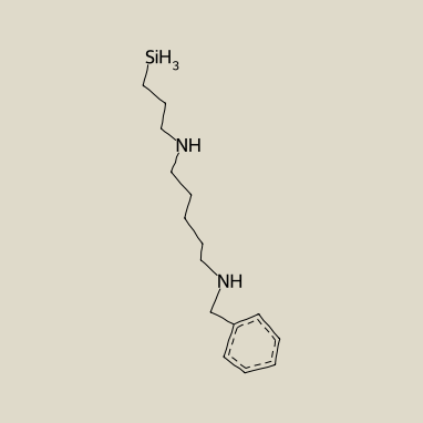 [SiH3]CCCNCCCCCNCc1ccccc1